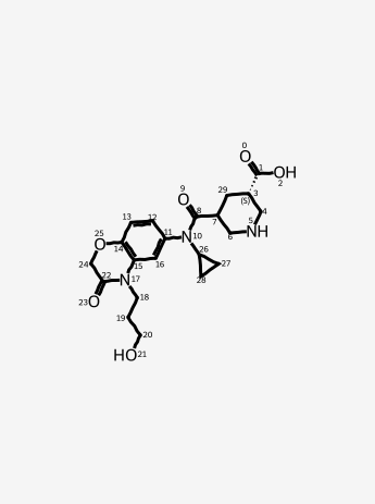 O=C(O)[C@@H]1CNCC(C(=O)N(c2ccc3c(c2)N(CCCO)C(=O)CO3)C2CC2)C1